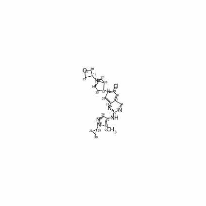 Cc1c(Nc2ncc3cc(Cl)c(C4CC5CC4CN5C4COC4)cc3n2)cnn1C1CC1